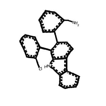 Nc1ccccc1-c1ccc2c([nH]c3ccccc32)c1-c1ccccc1Cl